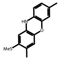 CSc1cc2c(cc1C)Oc1cc(C)ccc1N2